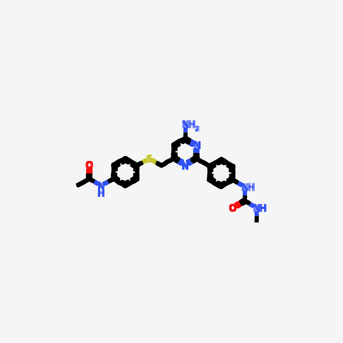 CNC(=O)Nc1ccc(-c2nc(N)cc(CSc3ccc(NC(C)=O)cc3)n2)cc1